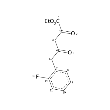 CCOC(=O)C(=O)CC(=O)Cc1ccccc1F